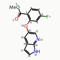 COC(=O)c1ccc(F)cc1Oc1cnc2[nH]ccc2c1